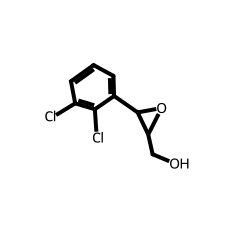 OCC1OC1c1cccc(Cl)c1Cl